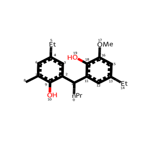 CCCC(c1cc(CC)cc(C)c1O)c1cc(CC)cc(OC)c1O